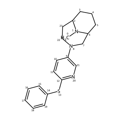 CN1C2CCCC1CN(c1ccc(Sc3ccccc3)nc1)CC2